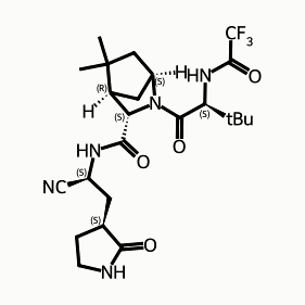 CC(C)(C)[C@H](NC(=O)C(F)(F)F)C(=O)N1[C@H]2C[C@@H]([C@H]1C(=O)N[C@H](C#N)C[C@@H]1CCNC1=O)C(C)(C)C2